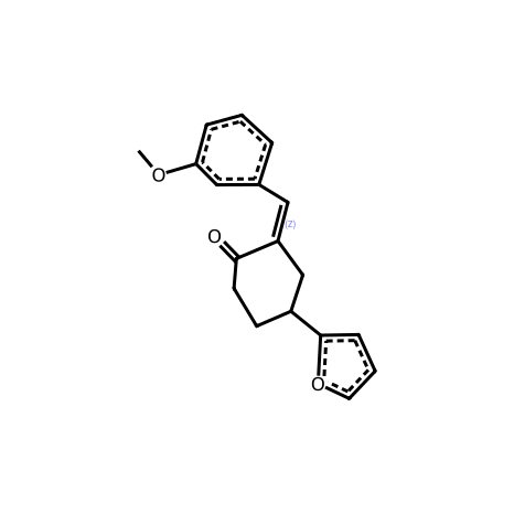 COc1cccc(/C=C2/CC(c3ccco3)CCC2=O)c1